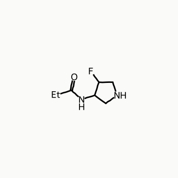 CCC(=O)NC1CNCC1F